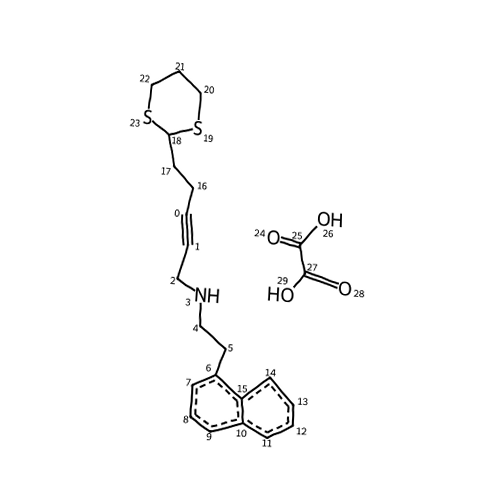 C(#CCNCCc1cccc2ccccc12)CCC1SCCCS1.O=C(O)C(=O)O